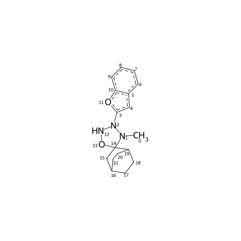 CN1N(c2cc3ccccc3o2)NOC12CC1CCC2CC1